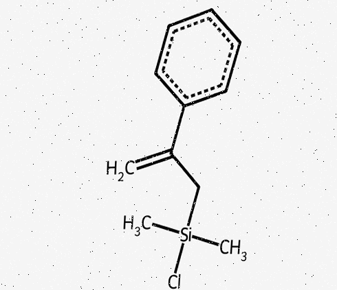 C=C(C[Si](C)(C)Cl)c1ccccc1